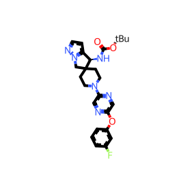 CC(C)(C)OC(=O)N[C@@H]1c2ccnn2CC12CCN(c1cnc(Oc3cccc(F)c3)cn1)CC2